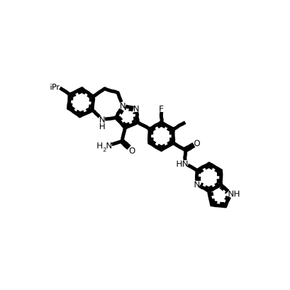 Cc1c(C(=O)Nc2ccc3[nH]ccc3n2)ccc(-c2nn3c(c2C(N)=O)Nc2ccc(C(C)C)cc2CC3)c1F